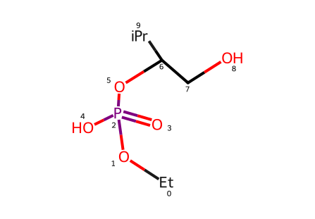 CCOP(=O)(O)OC(CO)C(C)C